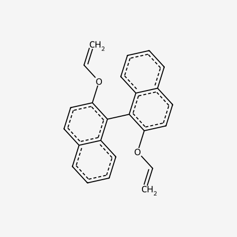 C=COc1ccc2ccccc2c1-c1c(OC=C)ccc2ccccc12